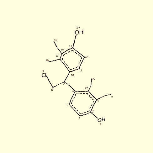 Cc1c(O)ccc(C(CCl)c2ccc(O)c(C)c2C)c1C